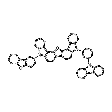 c1cc(-n2c3ccccc3c3ccccc32)cc(-n2c3ccccc3c3c4oc5c(ccc6c5c5ccccc5n6-c5ccc6oc7ccccc7c6c5)c4ccc32)c1